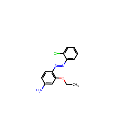 CCOc1cc(N)ccc1N=Nc1ccccc1Cl